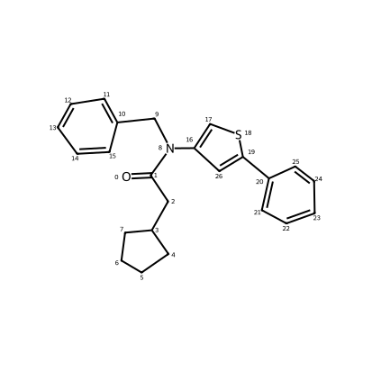 O=C(CC1CCCC1)N(Cc1ccccc1)c1csc(-c2ccccc2)c1